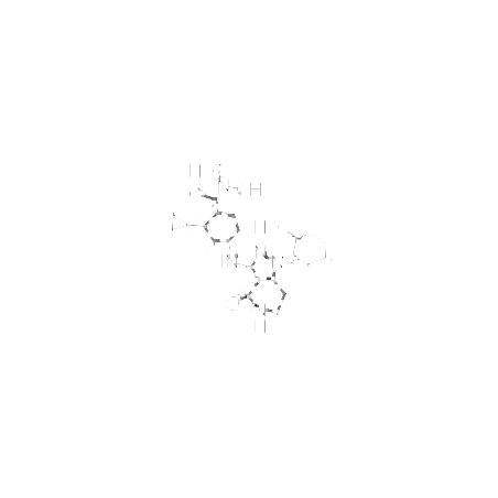 C[C@H]1CCCC[C@@H]1n1nc(Nc2ccc(C(=O)N(C)C)c(C3CC3)c2)c2c(=O)[nH]ccc21